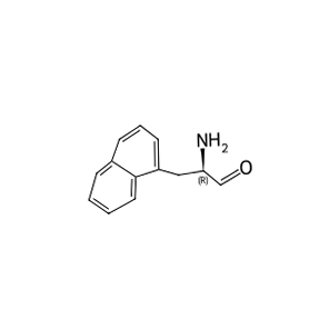 N[C@@H](C=O)Cc1cccc2ccccc12